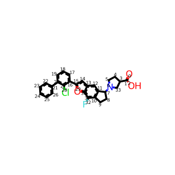 O=C(O)C1CCN(C2CCc3c2cc2cc(-c4cccc(-c5ccccc5)c4Cl)oc2c3F)C1